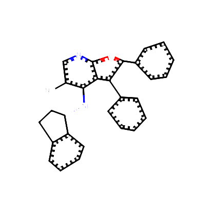 N#Cc1cnc2oc(-c3ccccc3)c(-c3ccccc3)c2c1N[C@H]1CCc2ccccc21